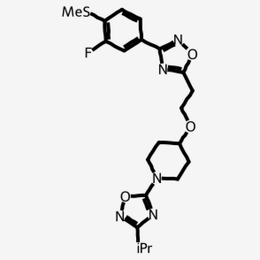 CSc1ccc(-c2noc(CCOC3CCN(c4nc(C(C)C)no4)CC3)n2)cc1F